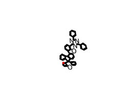 c1ccc(-c2nc(-c3ccccc3)nc(-c3cccc4c3oc3ccc5c(c34)-c3ccccc3C53c4ccccc4Oc4ccccc43)n2)cc1